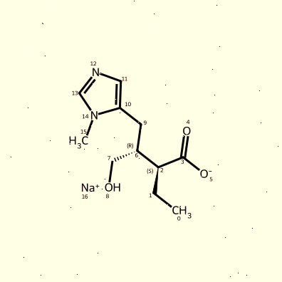 CC[C@H](C(=O)[O-])[C@H](CO)Cc1cncn1C.[Na+]